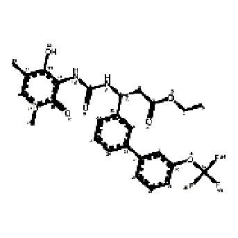 CCOC(=O)C[C@H](NC(=O)Nc1c(O)c(C)cn(C)c1=O)c1cccc(-c2cccc(OC(F)(F)F)c2)c1